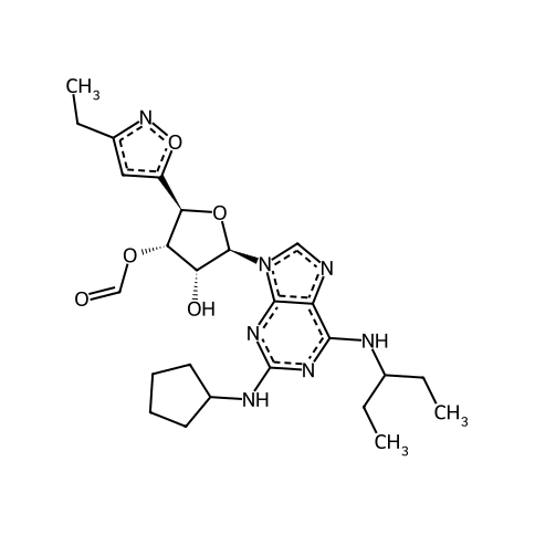 CCc1cc([C@H]2O[C@@H](n3cnc4c(NC(CC)CC)nc(NC5CCCC5)nc43)[C@H](O)[C@@H]2OC=O)on1